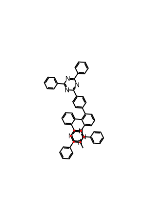 Cc1cccc(-c2cccc(-c3ccc(-c4nc(-c5ccccc5)nc(-c5ccccc5)n4)cc3)c2-c2ccccc2-c2nc(-c3ccccc3)nc(-c3ccccc3)n2)n1